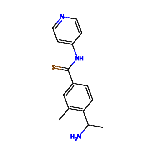 Cc1cc(C(=S)Nc2ccncc2)ccc1C(C)N